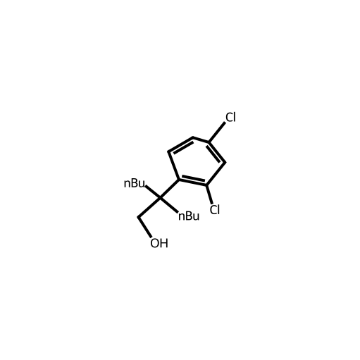 CCCCC(CO)(CCCC)c1ccc(Cl)cc1Cl